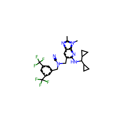 Cc1nc2cc(CN(C#N)Cc3cc(C(F)(F)F)cc(C(F)(F)F)c3)c(NC(C3CC3)C3CC3)nc2n1C